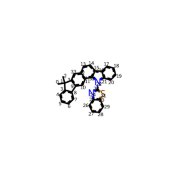 CC1(C)c2ccccc2-c2cc3c(ccc4c5ccccc5n(-c5nc6ccccc6s5)c34)cc21